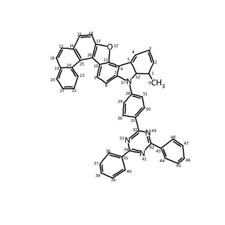 CC1C=CC=C2c3c(ccc4c3oc3ccc5ccc6ccccc6c5c34)N(c3ccc(-c4nc(-c5ccccc5)nc(-c5ccccc5)n4)cc3)C21